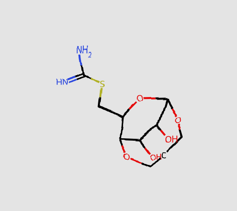 N=C(N)SCC1OC2OCCCOC1C(O)C2O